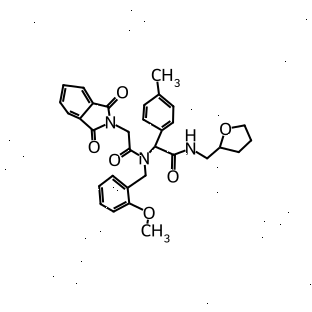 COc1ccccc1CN(C(=O)CN1C(=O)c2ccccc2C1=O)C(C(=O)NCC1CCCO1)c1ccc(C)cc1